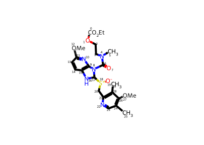 CCOC(=O)OCCN(C)C(=O)N1c2nc(OC)ccc2NC1[S+]([O-])Cc1ncc(C)c(OC)c1C